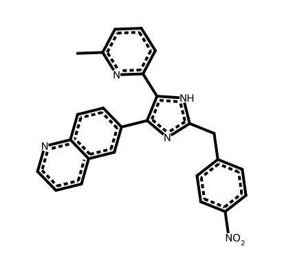 Cc1cccc(-c2[nH]c(Cc3ccc([N+](=O)[O-])cc3)nc2-c2ccc3ncccc3c2)n1